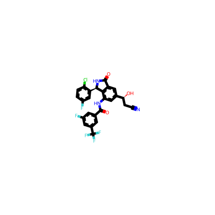 N#CC[C@@H](O)c1cc(NC(=O)c2cc(F)cc(C(F)(F)F)c2)c2c(c1)C(=O)N[C@@H]2c1cc(F)ccc1Cl